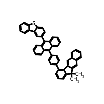 CC1(C)c2cc3ccccc3cc2-c2c(-c3ccc(-c4c5ccccc5c(-c5ccc6sc7ccccc7c6c5)c5ccccc45)cc3)cccc21